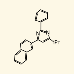 CC(C)c1cc(-c2ccc3ccccc3c2)nc(-c2ccccc2)n1